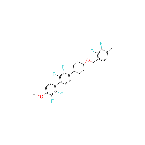 CCOc1ccc(-c2ccc(C3CCC(OCc4ccc(C)c(F)c4F)CC3)c(F)c2F)c(F)c1F